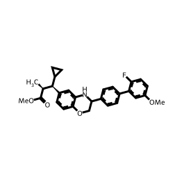 COC(=O)[C@@H](C)[C@H](c1ccc2c(c1)NC(c1ccc(-c3cc(OC)ccc3F)cc1)CO2)C1CC1